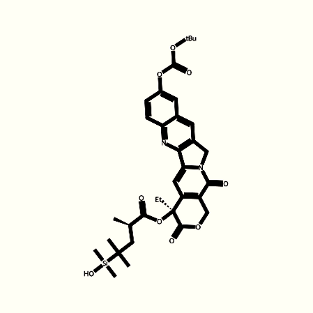 CC[C@@]1(OC(=O)[C@H](C)CC(C)(C)[Si](C)(C)O)C(=O)OCc2c1cc1n(c2=O)Cc2cc3cc(OC(=O)OC(C)(C)C)ccc3nc2-1